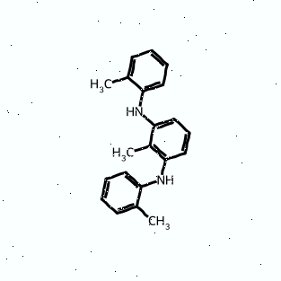 Cc1ccccc1Nc1cccc(Nc2ccccc2C)c1C